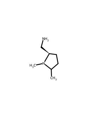 CC1CC[C@H](CN)N1C